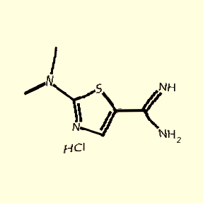 CN(C)c1ncc(C(=N)N)s1.Cl